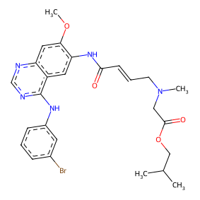 COc1cc2ncnc(Nc3cccc(Br)c3)c2cc1NC(=O)C=CCN(C)CC(=O)OCC(C)C